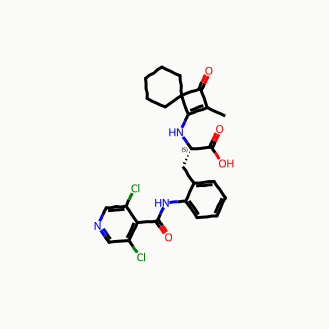 CC1=C(N[C@@H](Cc2ccccc2NC(=O)c2c(Cl)cncc2Cl)C(=O)O)C2(CCCCC2)C1=O